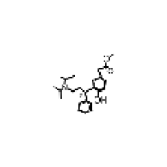 COC(=O)Cc1ccc(O)c([C@H](CCN(C(C)C)C(C)C)c2ccccc2)c1